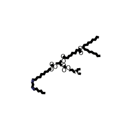 CCCCC/C=C\C/C=C\CCCCCCCCOC(=O)OCC(COC(=O)CCCCCCC(=O)OC(CCCCCCCC)CCCCCCCC)COC(=O)OCCCN(CC)CC